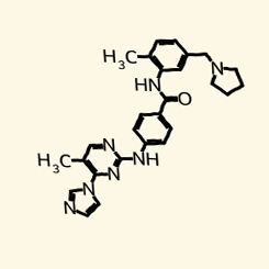 Cc1ccc(CN2CCCC2)cc1NC(=O)c1ccc(Nc2ncc(C)c(-n3ccnc3)n2)cc1